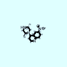 C[C@@H]1CN(c2ccnc3ccc([N+](=O)[O-])cc23)[C@@H](C)CN1